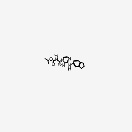 CC(C)OC(=O)Nc1nnc2c(Nc3ccc4c(c3)CCC4)nccn12